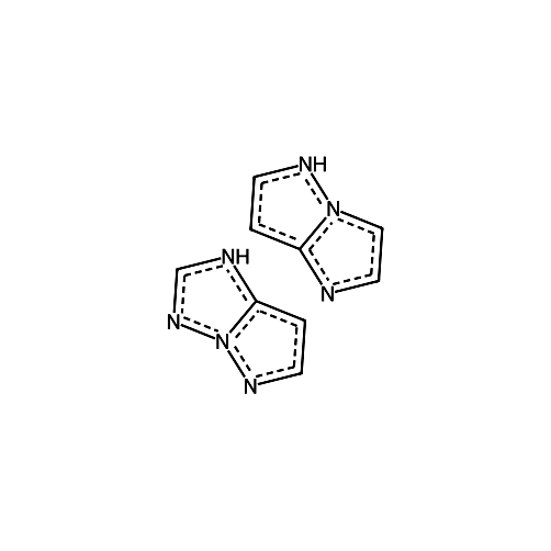 c1cc2[nH]cnn2n1.c1cn2[nH]ccc2n1